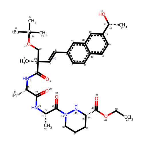 CC(C)[C@H](NC(=O)[C@](C)(/C=C/c1ccc2ccc([C@@H](C)O)cc2c1)CO[Si](C)(C)C(C)(C)C)C(=O)N[C@@H](C)C(=O)N1CCC[C@@H](C(=O)OCC(Cl)(Cl)Cl)N1